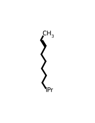 CC=CCCCCCC(C)C